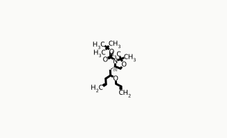 C=CCOC(CC=C)C[C@H]1COC(C)(C)N1C(=O)OC(C)(C)C